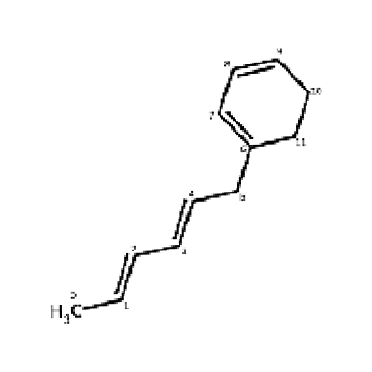 CC=CC=CCC1=CC=CCC1